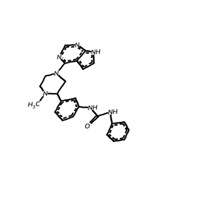 CN1CCN(c2ncnc3[nH]ccc23)CC1c1cccc(NC(=O)Nc2ccccc2)c1